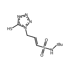 CC(C)(C)NS(=O)(=O)C=CCn1nnnc1S